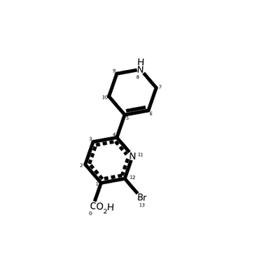 O=C(O)c1ccc(C2=CCNCC2)nc1Br